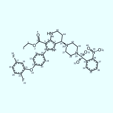 CCOC(=O)c1c2c(nn1-c1ccc(Oc3cc(F)ccc3F)cc1)[C@H](N1CCN(S(=O)(=O)c3ccccc3[N+](=O)[O-])CC1)CCN2